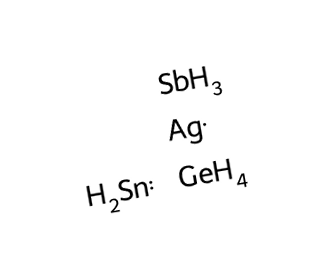 [Ag].[GeH4].[SbH3].[SnH2]